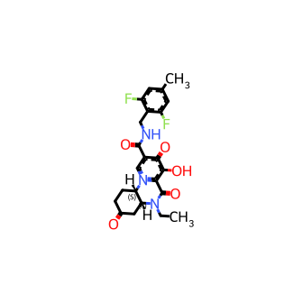 CCN1C(=O)c2c(O)c(=O)c(C(=O)NCc3c(F)cc(C)cc3F)cn2[C@H]2CCC(=O)C[C@H]21